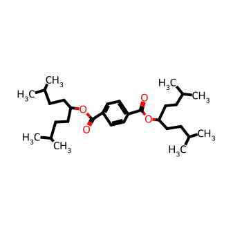 CC(C)CCC(CCC(C)C)OC(=O)c1ccc(C(=O)OC(CCC(C)C)CCC(C)C)cc1